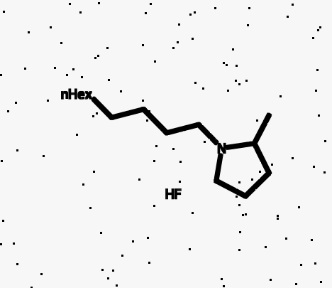 CCCCCCCCCCN1CCCC1C.F